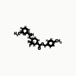 Cc1ccc(COC(=O)N2CC[C@H](CNc3cccc(C)n3)C(F)(F)C2)cc1